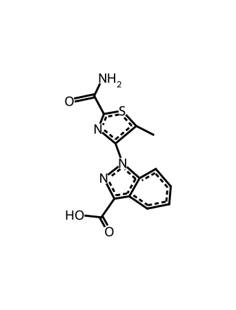 Cc1sc(C(N)=O)nc1-n1nc(C(=O)O)c2ccccc21